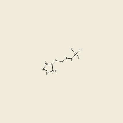 CC(C)(C)SCCCc1nnn[nH]1